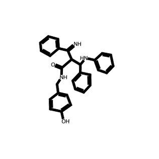 N=C(c1ccccc1)C(C(=O)NCc1ccc(O)cc1)C(Nc1ccccc1)c1ccccc1